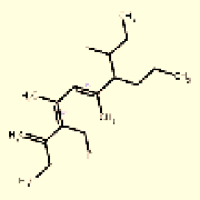 C=C(CC)/C(CF)=C(C)/C=C(\C)C(CCC)C(F)CC